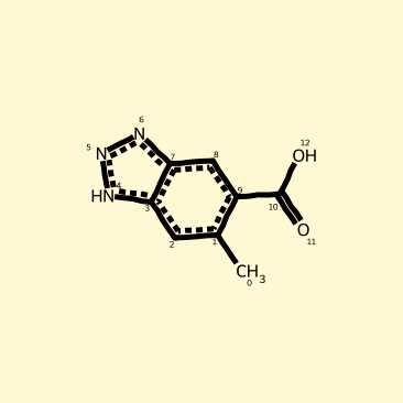 Cc1cc2[nH]nnc2cc1C(=O)O